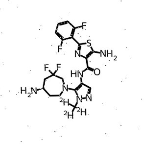 [2H]C([2H])([2H])n1ncc(NC(=O)c2nc(-c3c(F)cccc3F)sc2N)c1N1CC[C@@H](N)CC(F)(F)C1